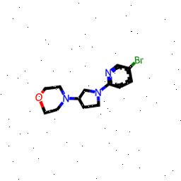 Brc1ccc(N2CCC(N3CCOCC3)C2)nc1